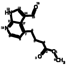 COC(=O)CCCc1ccnc2[nH]cc(C=O)c12